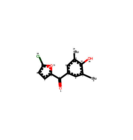 CC(C)(C)c1cc(C(=O)c2ccc(Cl)o2)cc(C(C)(C)C)c1O